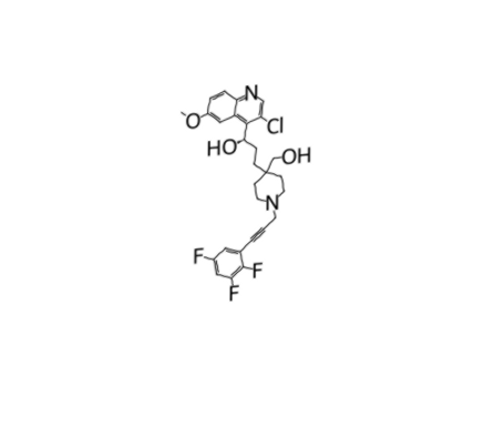 COc1ccc2ncc(Cl)c([C@H](O)CCC3(CO)CCN(CC#Cc4cc(F)cc(F)c4F)CC3)c2c1